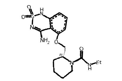 CCNC(=O)N1CCCC[C@@H]1COc1cccc2c1C(N)=NS(=O)(=O)N2